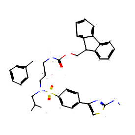 CNc1nc(-c2ccc(S(=O)(=O)N(CC(C)C)C[C@@H](O)[C@H](Cc3ccccc3)NC(=O)OCC3c4ccccc4-c4ccccc43)cc2)cs1